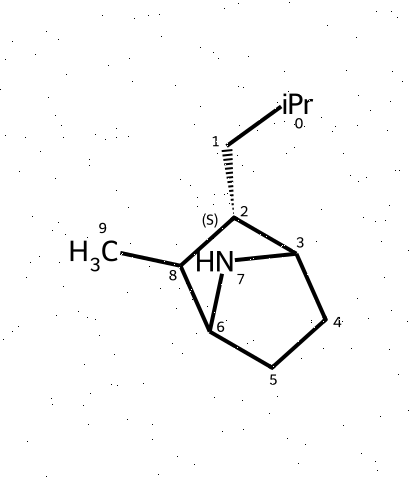 CC(C)C[C@@H]1C2CCC(N2)C1C